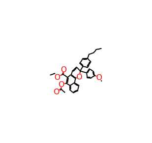 CCCCc1ccc(C2(c3ccc(OC)cc3)C=Cc3c(C(=O)OCC)c(OC(C)=O)c4ccccc4c3O2)cc1